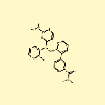 CN(C)C(=O)c1cccc(-c2ccccc2CC(c2ccnc([S+](C)[O-])n2)c2cccnc2F)c1